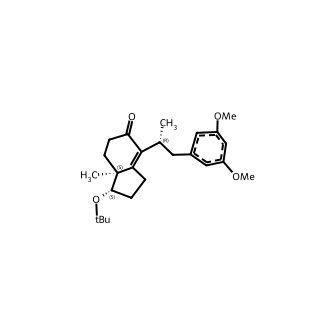 COc1cc(C[C@@H](C)C2=C3CC[C@H](OC(C)(C)C)[C@@]3(C)CCC2=O)cc(OC)c1